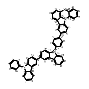 c1ccc(-n2c3ccccc3c3cc(-c4ccc5c(c4)c4ccccc4n5-c4ccc(-c5ccc6c(c5)c5cccc7c5n6-c5ccccc5S7)cc4)ccc32)cc1